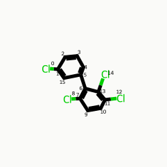 Clc1cccc(-c2c(Cl)ccc(Cl)c2Cl)c1